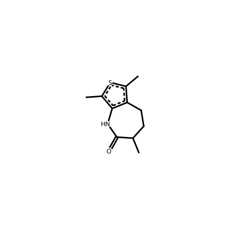 Cc1sc(C)c2c1CCC(C)C(=O)N2